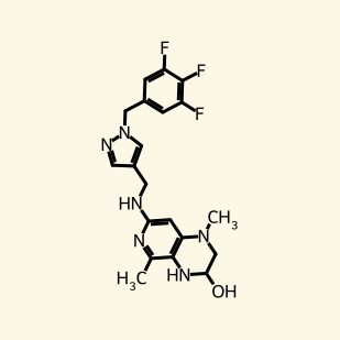 Cc1nc(NCc2cnn(Cc3cc(F)c(F)c(F)c3)c2)cc2c1NC(O)CN2C